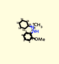 COc1ccccc1NN(C)C1CCCCC1